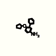 Nc1ccc(OC2CCCC2)c(-c2ccccc2)c1